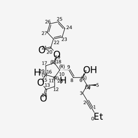 CCC#CC[C@H](C)[C@H](O)C=C[C@@H]1[C@H]2CC(=O)O[C@H]2C[C@H]1OC(=O)c1ccccc1